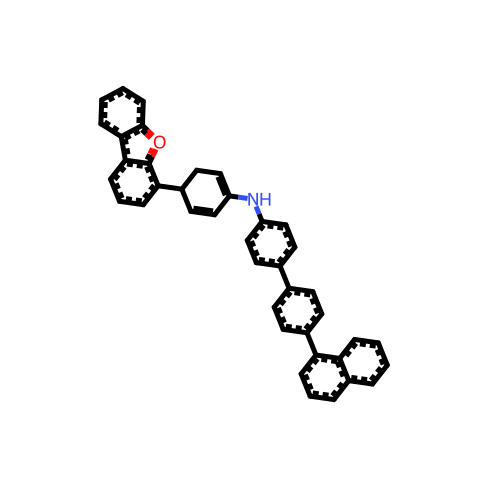 C1=CC(c2cccc3c2oc2ccccc23)CC=C1Nc1ccc(-c2ccc(-c3cccc4ccccc34)cc2)cc1